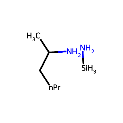 CCCCC(C)N.N[SiH3]